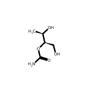 C[C@@H](O)[C@@H](CO)OC(N)=O